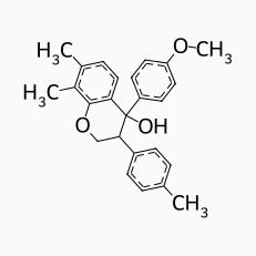 COc1ccc(C2(O)c3ccc(C)c(C)c3OCC2c2ccc(C)cc2)cc1